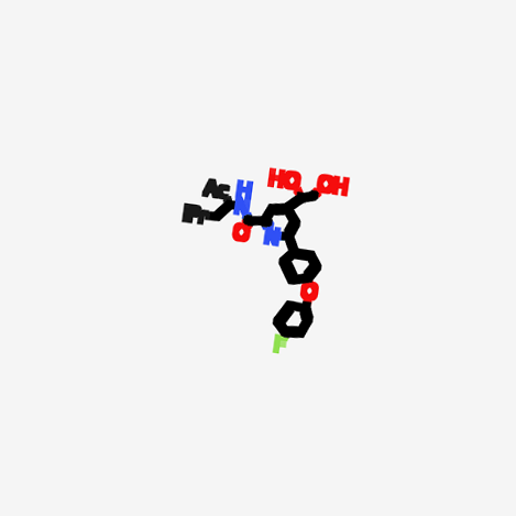 CC(=O)[C@H](CC(C)C)NC(=O)c1cc([C@@H](O)CO)cc(-c2ccc(Oc3ccc(F)cc3)cc2)n1